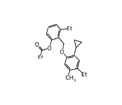 CCC(=O)Oc1cccc(CC)c1COc1cc(C)c(CC)cc1C1CC1